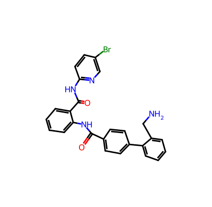 NCc1ccccc1-c1ccc(C(=O)Nc2ccccc2C(=O)Nc2ccc(Br)cn2)cc1